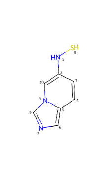 SNc1ccc2cncn2c1